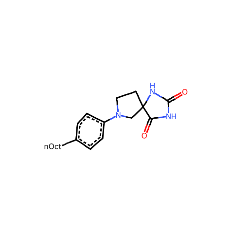 CCCCCCCCc1ccc(N2CCC3(C2)NC(=O)NC3=O)cc1